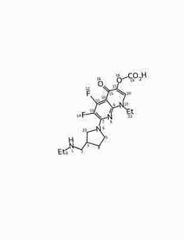 CCNCC1CCN(c2nc3c(c(F)c2F)c(=O)c(OC(=O)O)cn3CC)C1